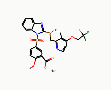 COc1ccc(S(=O)(=O)n2c([S+]([O-])Cc3nccc(OCC(F)(F)F)c3C)nc3ccccc32)cc1C(=O)[O-].[Na+]